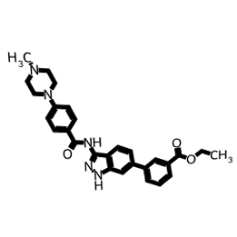 CCOC(=O)c1cccc(-c2ccc3c(NC(=O)c4ccc(N5CCN(C)CC5)cc4)n[nH]c3c2)c1